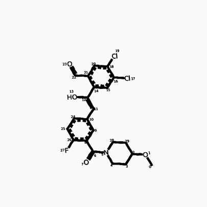 COC1CCN(C(=O)c2cc(/C=C(\O)c3cc(Cl)c(Cl)cc3C=O)ccc2F)CC1